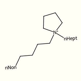 CCCCCCCCCCCCC[N+]1(CCCCCCC)CCCC1